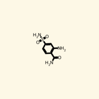 NC(=O)c1ccc(S(N)(=O)=O)cc1N